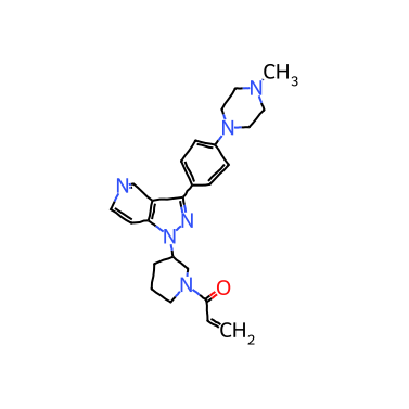 C=CC(=O)N1CCCC(n2nc(-c3ccc(N4CCN(C)CC4)cc3)c3cnccc32)C1